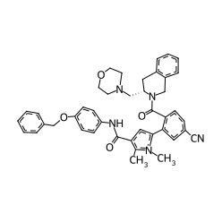 Cc1c(C(=O)Nc2ccc(OCc3ccccc3)cc2)cc(-c2cc(C#N)ccc2C(=O)N2Cc3ccccc3C[C@H]2CN2CCOCC2)n1C